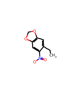 C[CH]c1cc2c(cc1[N+](=O)[O-])OCO2